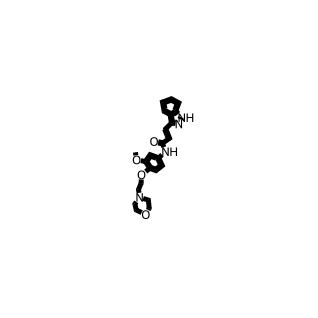 COc1cc(NC(=O)C=Cc2n[nH]c3ccccc23)ccc1OCCN1CCOCC1